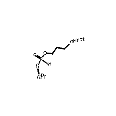 CCCCCCCCCCOP(=S)(S)OCCC